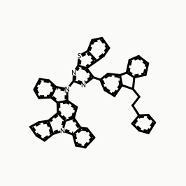 c1ccc(CCC2c3ccccc3-c3cc(-c4nc(-n5c6ccccc6c6c7c8ccccc8n8c9ccccc9c(cc65)c78)nc5sc6ccccc6c45)ccc32)cc1